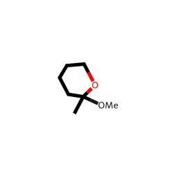 COC1(C)CCCCO1